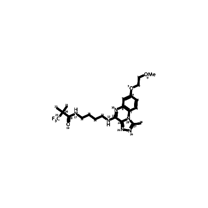 COCCOc1ccc2c(c1)nc(NCCCCNC(=O)C(C)(C)C(F)(F)F)c1nnc(C)n12